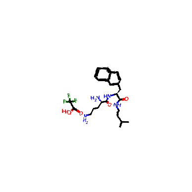 CC(C)CCNC(=O)[C@H](Cc1ccc2ccccc2c1)NC(=O)[C@H](N)CCCN.O=C(O)C(F)(F)F